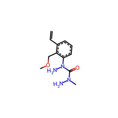 C=Cc1cccc(N(N)C(=O)N(C)N)c1COC